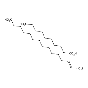 CCCCCCCCC=CCCCCCCCCCCCC(=O)O.O=C(O)CCCCCCCCC(=O)O